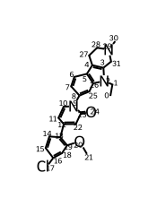 CCn1c2c(c3ccc(-n4ccc(-c5ccc(Cl)cc5OC)cc4=O)cc31)CCN(C)C2